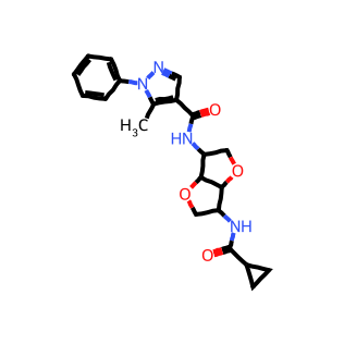 Cc1c(C(=O)NC2COC3C(NC(=O)C4CC4)COC23)cnn1-c1ccccc1